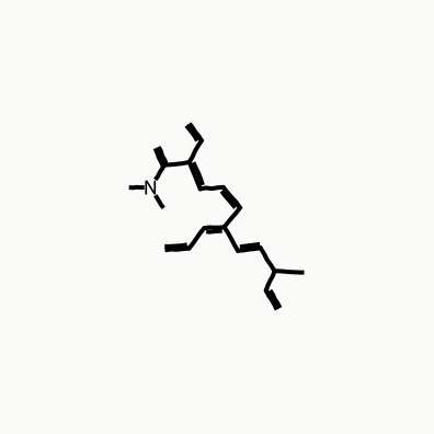 C=C/C=C(/C=C\C=C(/C=C)C(=C)N(C)C)\C=C\C(C)C=C